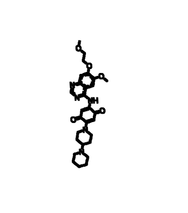 COCCOc1cc2ncnc(NC3=CC(=O)C(N4CCC(N5CCCCC5)CC4)=CC3=O)c2cc1OC